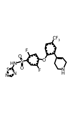 O=S(=O)(Nc1ncns1)c1cc(F)c(Oc2ccc(C(F)(F)F)cc2C2=CCNCC2)cc1F